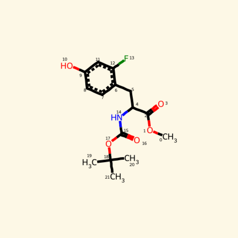 COC(=O)C(Cc1ccc(O)cc1F)NC(=O)OC(C)(C)C